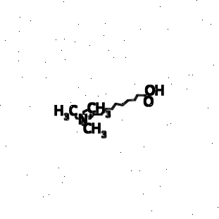 CC[N+](CC)(CC)CCCCCCCCCCC(=O)O